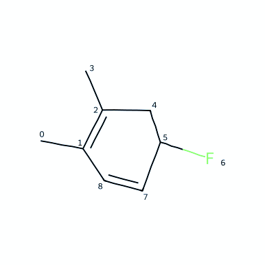 CC1=C(C)CC(F)C=C1